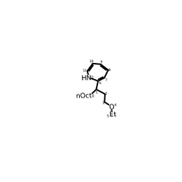 CCCCCCCCC(CCOCC)C1=CC=CC=CN1